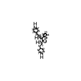 O=C(NCCC1CCNCC1)C(NCCC1CCNCC1)c1cccs1